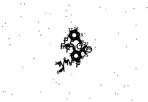 CCN(C)C=Nc1cc(C)c(C2(OCc3ccccc3SC(F)(F)F)COC2)cc1F